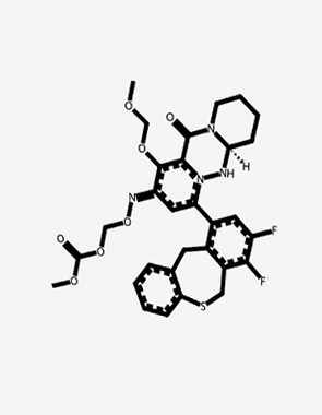 COCOc1c2n(c(-c3cc(F)c(F)c4c3Cc3ccccc3SC4)c/c1=N\OCOC(=O)OC)N[C@@H]1CCCCN1C2=O